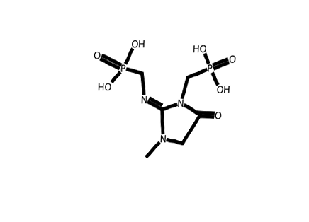 CN1CC(=O)N(CP(=O)(O)O)C1=NCP(=O)(O)O